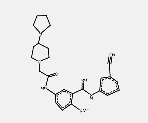 C#Cc1cccc(NC(=N)c2cc(NC(=O)CN3CCC(N4CCCC4)CC3)ccc2NC)c1